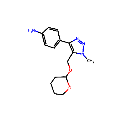 Cn1nnc(-c2ccc(N)cc2)c1COC1CCCCO1